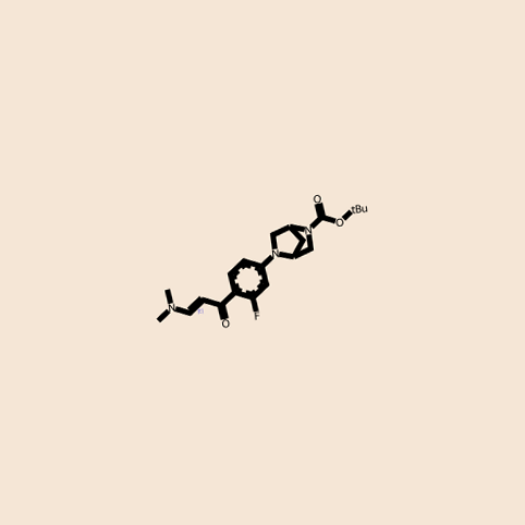 CN(C)/C=C/C(=O)c1ccc(N2CC3CC2CN3C(=O)OC(C)(C)C)cc1F